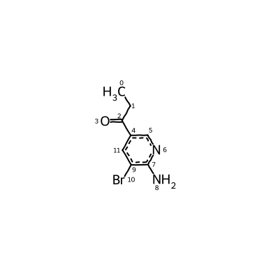 CCC(=O)c1cnc(N)c(Br)c1